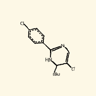 CC(C)(C)C1NC(c2ccc(Cl)cc2)=NC=C1Cl